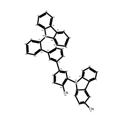 N#Cc1ccc2c(c1)c1ccccc1n2-c1cc(-c2cccc(-c3ccccc3-n3c4ccccc4c4ccccc43)c2)ccc1C#N